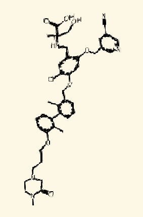 Cc1c(COc2cc(OCc3cncc(C#N)c3)c(CN[C@@](C)(CO)C(=O)O)cc2Cl)cccc1-c1cccc(OCCCN2CCN(C)C(=O)C2)c1C